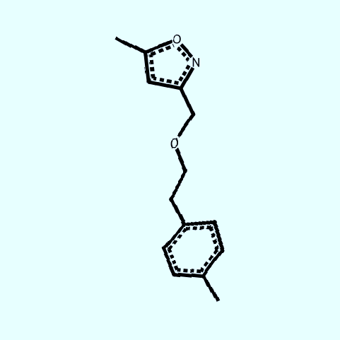 Cc1ccc(CCOCc2cc(C)on2)cc1